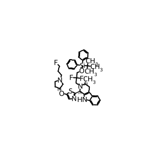 C[C@@H]1Cc2c([nH]c3ccccc23)[C@@H](c2ncc(O[C@@H]3CCN(CCCF)C3)s2)N1CC(F)(F)CO[Si](c1ccccc1)(c1ccccc1)C(C)(C)C